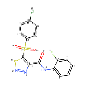 O=C(Nc1ccccc1F)c1nnsc1S(=O)(=O)c1ccc(Cl)cc1